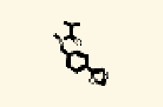 CC(C)C(=O)N(C)Cc1ccc(-c2cnco2)cc1